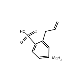 C=CCc1ccccc1S(=O)(=O)O.[MgH2]